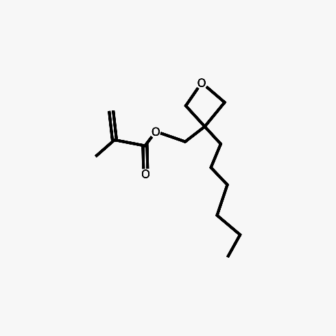 C=C(C)C(=O)OCC1(CCCCCC)COC1